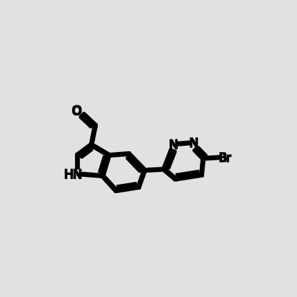 O=Cc1c[nH]c2ccc(-c3ccc(Br)nn3)cc12